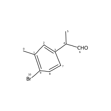 Cc1cc(C(C)C=O)ccc1Br